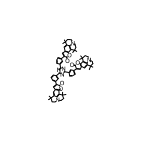 CC1(C)CCN2CCC(C)(C)c3c2c1cc1cc(-c2cccc(-c4nc(-c5cccc(-c6cc7cc8c9c(c7oc6=O)C(C)(C)CCN9CCC8(C)C)c5)nc(-c5cccc(-c6cc7cc8c9c(c7oc6=O)C(C)(C)CCN9CCC8(C)C)c5)n4)c2)c(=O)oc31